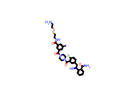 N=C(Cc1ccc(F)c(C(=O)N2CCN(C(=O)c3cc(I)cc(C(=O)NCCSSCCN)c3)CC2)c1)c1ccccc1C(N)=O